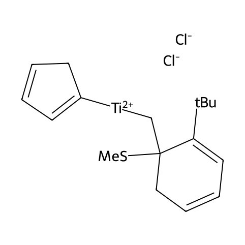 CSC1([CH2][Ti+2][C]2=CC=CC2)CC=CC=C1C(C)(C)C.[Cl-].[Cl-]